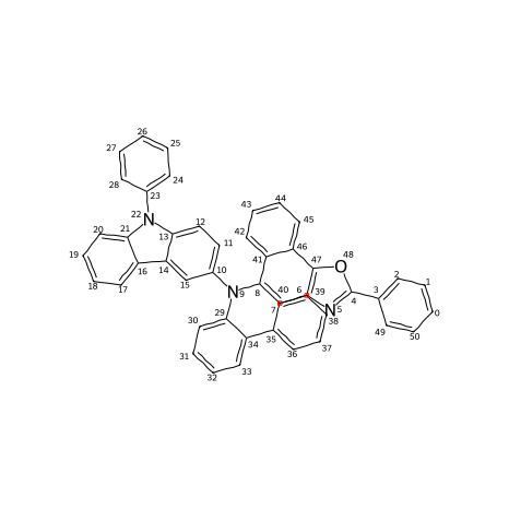 c1ccc(-c2nc3cc(N(c4ccc5c(c4)c4ccccc4n5-c4ccccc4)c4ccccc4-c4ccccc4)c4ccccc4c3o2)cc1